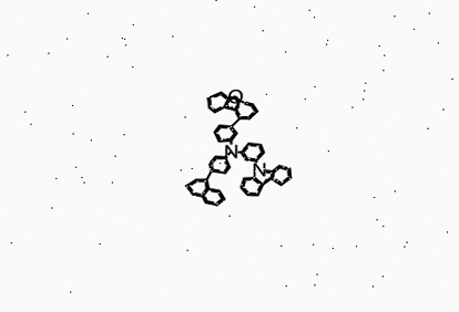 c1cc(-c2cccc3oc4ccccc4c23)cc(N(c2ccc(-c3cccc4ccccc34)cc2)c2cccc(-n3c4ccccc4c4ccccc43)c2)c1